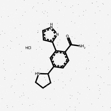 Cl.NC(=O)c1ccc(C2CCCN2)cc1-c1cc[nH]n1